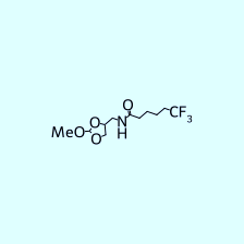 COC1OCC(CNC(=O)CCCCC(F)(F)F)O1